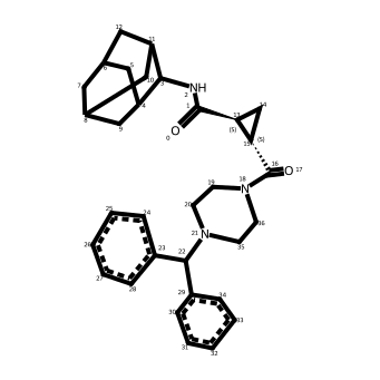 O=C(NC1C2CC3CC(C2)CC1C3)[C@H]1C[C@@H]1C(=O)N1CCN(C(c2ccccc2)c2ccccc2)CC1